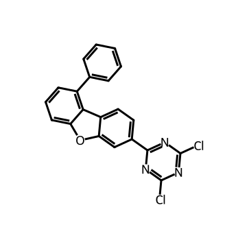 Clc1nc(Cl)nc(-c2ccc3c(c2)oc2cccc(-c4ccccc4)c23)n1